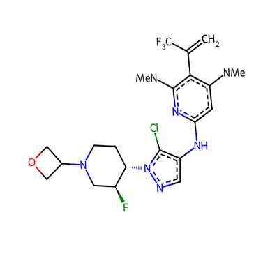 C=C(c1c(NC)cc(Nc2cnn([C@H]3CCN(C4COC4)C[C@@H]3F)c2Cl)nc1NC)C(F)(F)F